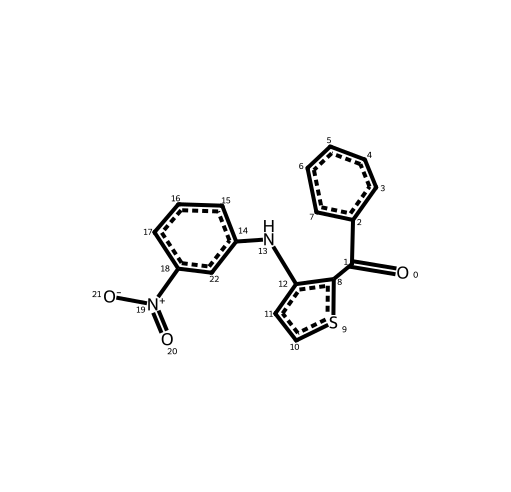 O=C(c1ccccc1)c1sccc1Nc1cccc([N+](=O)[O-])c1